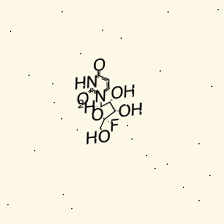 [2H][C@@]1(n2ccc(=O)[nH]c2=O)O[C@](F)(CO)[C@@H](O)[C@H]1O